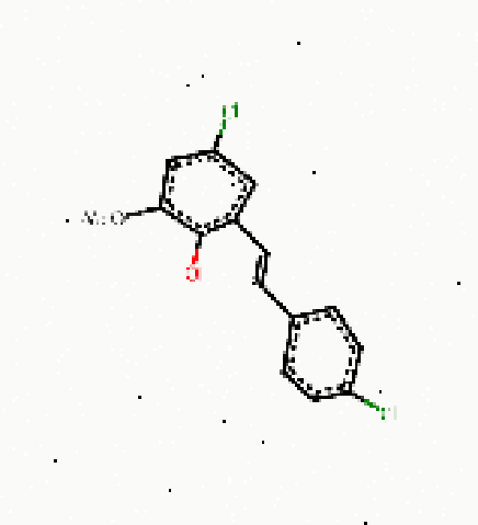 COc1cc(Cl)cc(C=Cc2ccc(Cl)cc2)c1O